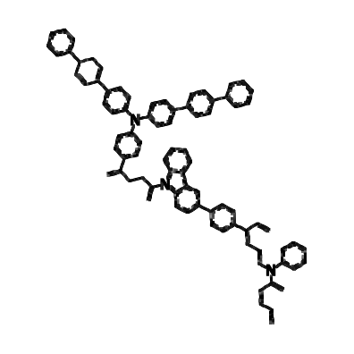 C=C/C=C\C(=C)N(/C=C/C=C(\C=C)c1ccc(-c2ccc3c(c2)c2ccccc2n3C(=C)CCC(=C)c2ccc(N(c3ccc(C4=CCC(c5ccccc5)C=C4)cc3)c3ccc(-c4ccc(-c5ccccc5)cc4)cc3)cc2)cc1)c1ccccc1